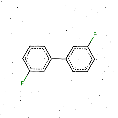 Fc1[c]ccc(-c2cccc(F)c2)c1